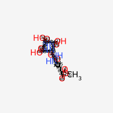 CCOC(=O)C(C=Cc1ccc(NC(=O)CNC(=O)CN2CCN(CC(=O)O)CCN(CC(=O)O)CCN(CC(=O)O)CC2)cc1)=CC=O